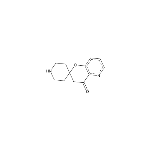 O=C1CC2(CCNCC2)Oc2cccnc21